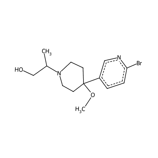 COC1(c2ccc(Br)nc2)CCN(C(C)CO)CC1